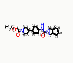 COCC(=O)N1CC=C(c2ccc(NC(=O)N3Cc4ccccc4C3)cc2)CC1